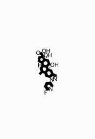 CC1=C[C@@H]2C([C@@H](O)C[C@@]3(C)C2CC[C@]3(O)C(=O)O)[C@@]2(C)Cc3cnn(-c4ccc(F)nc4)c3C=C12